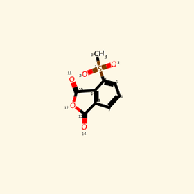 CS(=O)(=O)c1cccc2c1C(=O)OC2=O